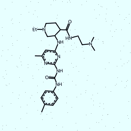 CCN1CCC(C(=O)NCCN(C)C)C(Nc2cc(C)nc(NC(=O)Nc3ccc(C)cc3)n2)C1